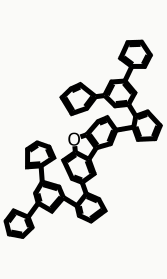 c1ccc(-c2cc(-c3ccccc3)cc(-c3ccccc3-c3ccc4oc5ccc(-c6ccccc6-c6cc(-c7ccccc7)cc(-c7ccccc7)c6)cc5c4c3)c2)cc1